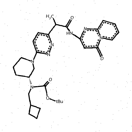 CC(C(=O)Nc1cc(=O)n2ccccc2n1)c1ccc(N2CCC[C@@H](N(CC3CCC3)C(=O)OC(C)(C)C)C2)nn1